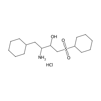 Cl.NC(CC1CCCCC1)C(O)CS(=O)(=O)C1CCCCC1